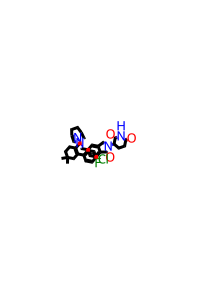 CC1(C)CCC(CN2C3CCC2CN(Cc2cc(F)c4c(c2)CN(C2CCC(=O)NC2=O)C4=O)C3)=C(c2ccc(Cl)cc2)C1